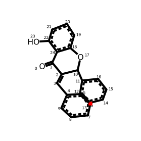 O=C1/C(=C/c2ccccc2)C(c2ccccc2)Oc2cccc(O)c21